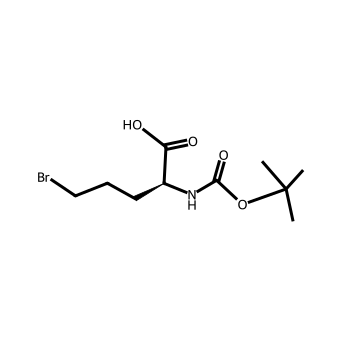 CC(C)(C)OC(=O)N[C@@H](CCCBr)C(=O)O